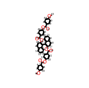 COc1ccc(C(=O)Oc2ccc(C(=O)Oc3ccc4ccccc4c3-c3c(OC(=O)c4ccc(OC(=O)c5ccc(OC)cc5)cc4)ccc4ccccc34)cc2)cc1